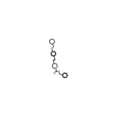 O=C(OCc1ccccc1)N1CCC(C=Cc2ccc(OCC3CCCCC3)cc2)CC1